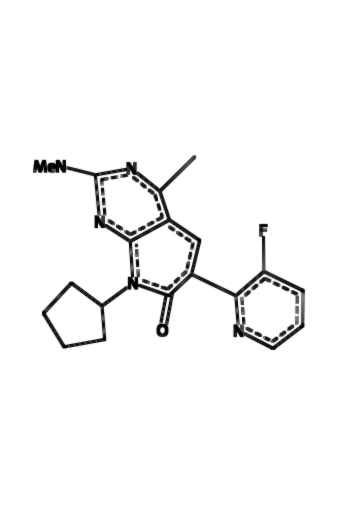 CNc1nc(C)c2cc(-c3ncccc3F)c(=O)n(C3CCCC3)c2n1